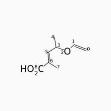 C=COC(C)C=C(C)C(=O)O